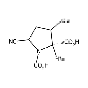 CC(C)(C)C1CC(C#N)N(C(=O)O)[C@]1(C(=O)O)C(C)(C)C